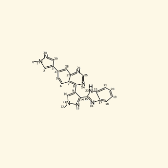 Cn1cc(-c2ccc3c(-c4cn(C)nc4-c4nc5ccccc5[nH]4)ncnc3c2)cn1